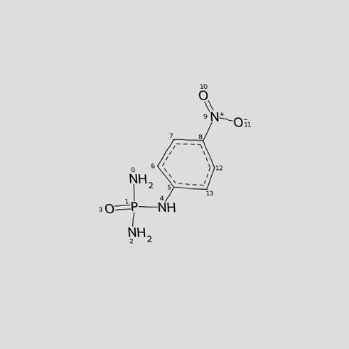 NP(N)(=O)Nc1ccc([N+](=O)[O-])cc1